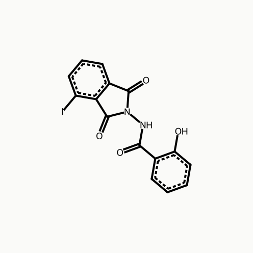 O=C(NN1C(=O)c2cccc(I)c2C1=O)c1ccccc1O